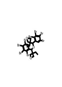 CCC1(C(OC(c2cc(Br)c(Br)c(Br)c2Br)C2(CC)COC2)c2cc(Br)c(Br)c(Br)c2Br)COC1